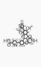 CCOc1cc(C(=O)[C@@H]2C(=O)c3cc(-c4ccc(C(=O)O)cn4)ccc3OC23CCNCC3)cc(OCC)c1-c1cnn(C)c1